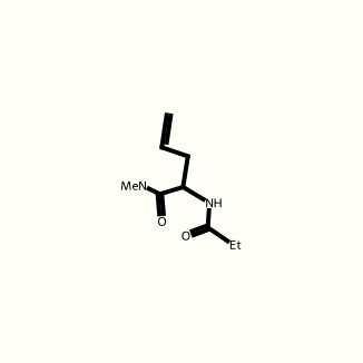 C=CCC(NC(=O)CC)C(=O)NC